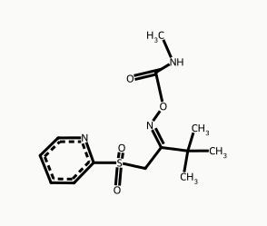 CNC(=O)ON=C(CS(=O)(=O)c1ccccn1)C(C)(C)C